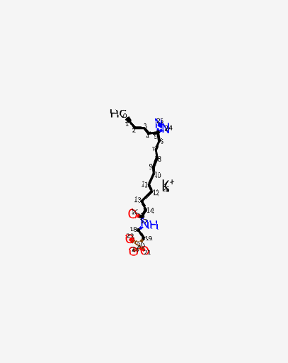 C#CCCCC1(CCCCCCCCCC(=O)NCCS(=O)(=O)[O-])N=N1.[K+]